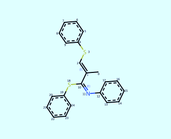 CC(=C\Sc1ccccc1)/C(=N\c1ccccc1)Sc1ccccc1